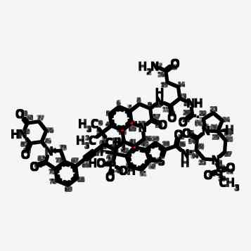 CC(C)(C)c1ccc(CC(NC(=O)C(CCC(N)=O)NC(=O)[C@@H]2CC[C@@H]3CCN(S(C)(=O)=O)C[C@H](NC(=O)c4cc5cc(C(F)(F)P(=O)(O)O)ccc5s4)C(=O)N32)C(=O)N2CCC(CCC#Cc3cccc4c3CN(C3CCC(=O)NC3=O)C4=O)CC2)cc1